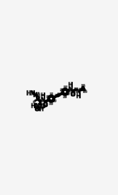 C[C@@H](N=[N+]=N)[C@H](NC(=O)c1ccc(C#Cc2ccc(NC(=O)CNC3CC3)cc2)cc1)C(=O)NO